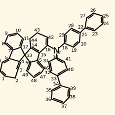 C1=CCC=C2C(=C1)c1ccccc1C21C2=C(C(N(c3ccc(-c4ccccc4)cc3)c3ccc(-c4ccccc4)cc3)=CCC2)c2ccccc21